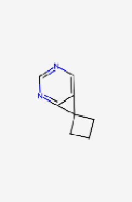 c1ncc2c(n1)C21CCC1